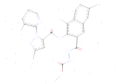 COC(=O)NNC(=O)c1cc2cc(Br)ccc2c(Cl)c1NC(=O)c1cc(Cl)nn1-c1ncccc1Cl